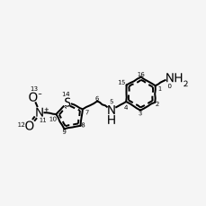 Nc1ccc(NCc2ccc([N+](=O)[O-])s2)cc1